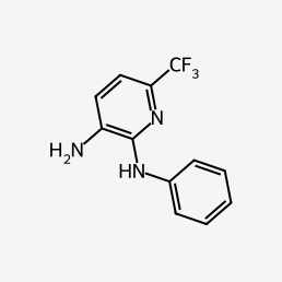 Nc1ccc(C(F)(F)F)nc1Nc1ccccc1